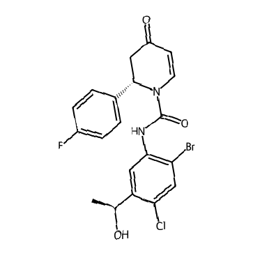 C[C@H](O)c1cc(NC(=O)N2C=CC(=O)C[C@H]2c2ccc(F)cc2)c(Br)cc1Cl